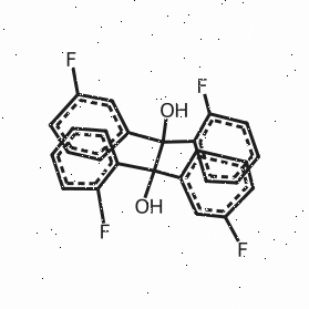 OC(c1cccc(F)c1)(c1ccccc1F)C(O)(c1cccc(F)c1)c1ccccc1F